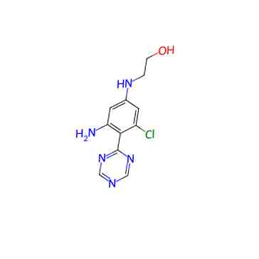 Nc1cc(NCCO)cc(Cl)c1-c1ncncn1